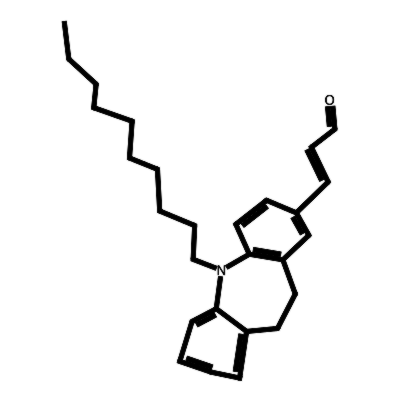 CCCCCCCCCCN1c2ccccc2CCc2cc(/C=C/C=O)ccc21